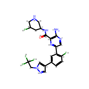 Nc1ncc(-c2cc(-c3cnn(CC(F)(F)F)c3)ccc2F)nc1C(=O)NC1CNCC(F)C1